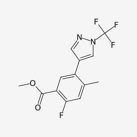 COC(=O)c1cc(-c2cnn(C(F)(F)F)c2)c(C)cc1F